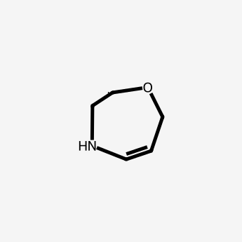 [CH]1CNC=CCO1